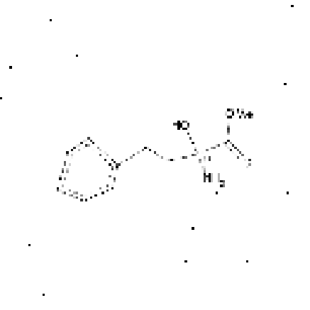 COC(=O)[C@](N)(O)CCc1ccccc1